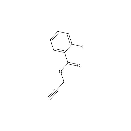 C#CCOC(=O)c1ccccc1I